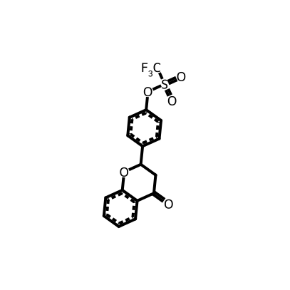 O=C1CC(c2ccc(OS(=O)(=O)C(F)(F)F)cc2)Oc2ccccc21